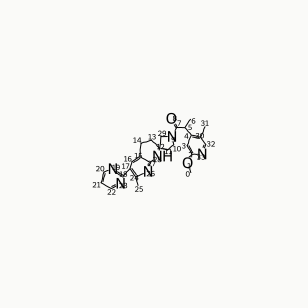 COc1cc(C(C)C(=O)N2CC[C@@]3(CCc4cc(-c5ncccn5)c(C)nc4N3)C2)c(C)cn1